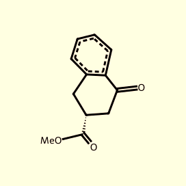 COC(=O)[C@H]1CC(=O)c2ccccc2C1